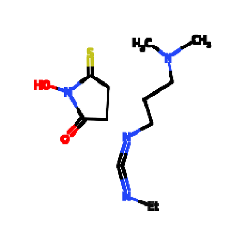 CCN=C=NCCCN(C)C.O=C1CCC(=S)N1O